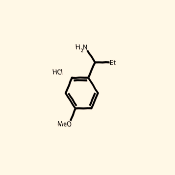 CCC(N)c1ccc(OC)cc1.Cl